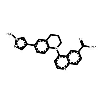 COC(=O)c1ccc2nccc(N3CCCc4cc(-c5cnn(C)c5)ccc43)c2c1